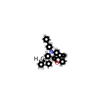 C[Si](c1ccccc1)(c1ccccc1)c1ccc(N(c2ccc(-c3ccccc3)cc2)c2ccc3c(c2)C2(c4ccccc4Oc4ccccc42)c2ccccc2-3)cc1